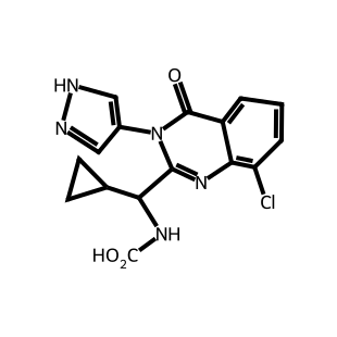 O=C(O)NC(c1nc2c(Cl)cccc2c(=O)n1-c1cn[nH]c1)C1CC1